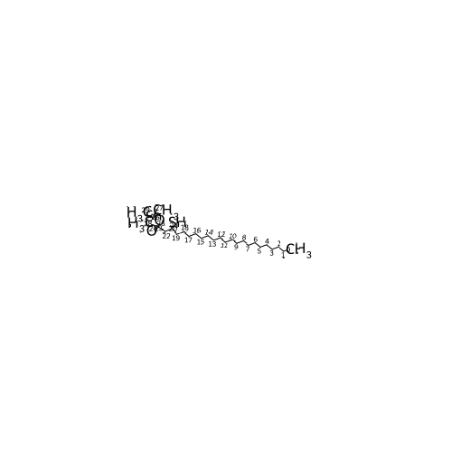 CCCCCCCCCCCCCCCCCCCCC(S)CC(=O)[O][Sn]([CH3])([CH3])[CH3]